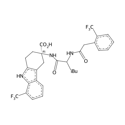 CCC(C)C(NC(=O)Cc1ccccc1C(F)(F)F)C(=O)N[C@]1(C(=O)O)CCc2[nH]c3c(C(F)(F)F)cccc3c2C1